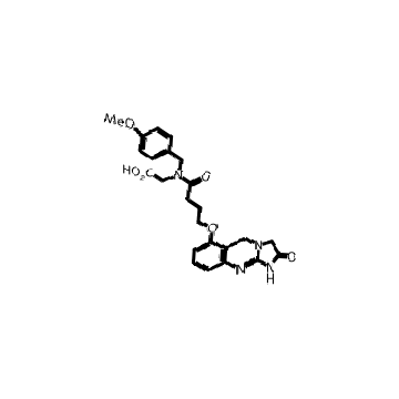 COc1ccc(CN(CC(=O)O)C(=O)CCCOc2cccc3c2CN2CC(=O)NC2=N3)cc1